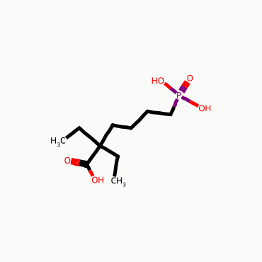 CCC(CC)(CCCCP(=O)(O)O)C(=O)O